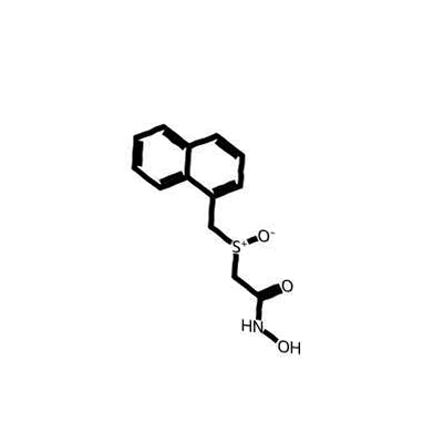 O=C(C[S+]([O-])Cc1cccc2ccccc12)NO